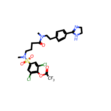 CN(CCc1ccc(C2=NCCN2)cc1)C(=O)CCCN(C)S(=O)(=O)c1cc(Cl)c(OC(=O)C(F)(F)F)c(Cl)c1